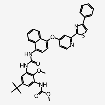 COC(=O)Nc1cc(C(C)(C)C)cc(NC(=O)Nc2ccc(Oc3ccnc(-c4nc(-c5ccccc5)cs4)c3)c3ccccc23)c1OC